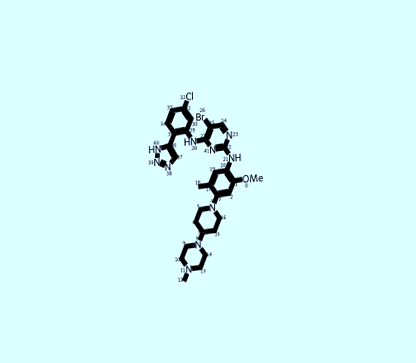 COc1cc(N2CCC(N3CCN(C)CC3)CC2)c(C)cc1Nc1ncc(Br)c(Nc2cc(Cl)ccc2-c2cnn[nH]2)n1